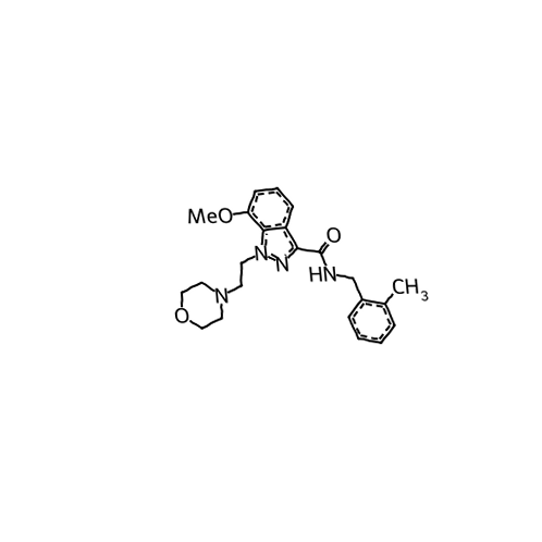 COc1cccc2c(C(=O)NCc3ccccc3C)nn(CCN3CCOCC3)c12